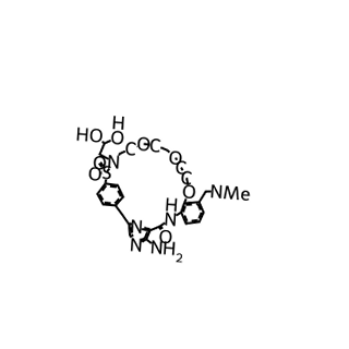 CNCc1cccc2c1OCCOCCOCCN(CC(O)O)S(=O)(=O)c1ccc(cc1)-c1cnc(N)c(n1)C(=O)N2